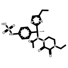 CCc1csc([C@](C)(c2ccc(NS(=O)(=O)O)cc2)N(C(C)=O)N2CCN(CC)C(=O)C2=O)n1